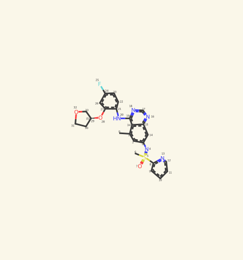 Cc1cc(N=S(C)(=O)c2ccccn2)cc2ncnc(Nc3ccc(F)cc3O[C@H]3CCOC3)c12